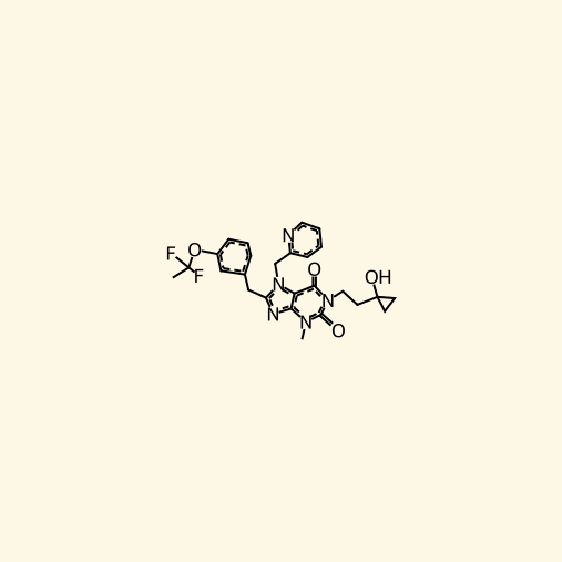 Cn1c(=O)n(CCC2(O)CC2)c(=O)c2c1nc(Cc1cccc(OC(C)(F)F)c1)n2Cc1ccccn1